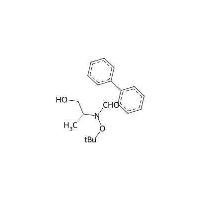 C[C@H](CO)N(C=O)OC(C)(C)C.c1ccc(-c2ccccc2)cc1